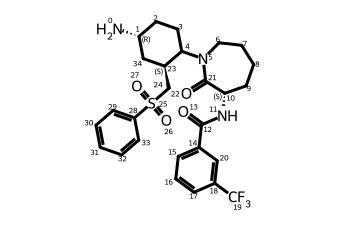 N[C@@H]1CCC(N2CCCC[C@H](NC(=O)c3cccc(C(F)(F)F)c3)C2=O)[C@@H](CS(=O)(=O)c2ccccc2)C1